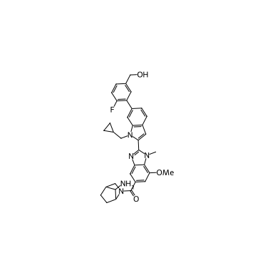 COc1cc(C(=O)N2CC3CCC2C3N)cc2nc(-c3cc4ccc(-c5cc(CO)ccc5F)cc4n3CC3CC3)n(C)c12